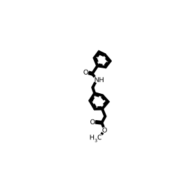 COC(=O)Cc1ccc(CNC(=O)c2ccccc2)cc1